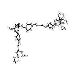 COC(COc1ccc(B2OC(C)(C)C(C)(CCN3CCN(CCCOc4ccc(B5OC(C)(C)C(C)(C)O5)cc4)CC3)O2)cc1)CN1CCOCC1